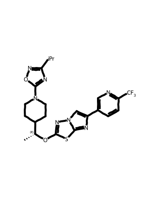 CC(C)c1noc(N2CCC([C@@H](C)Oc3nn4cc(-c5ccc(C(F)(F)F)nc5)nc4s3)CC2)n1